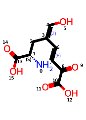 N[C@@H](CC(=C/O)/C=C/C(=O)C(=O)O)C(=O)O